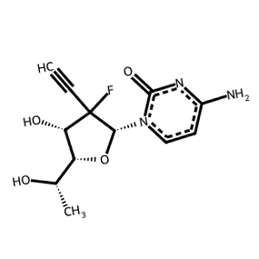 C#CC1(F)[C@@H](O)[C@@H]([C@H](C)O)O[C@H]1n1ccc(N)nc1=O